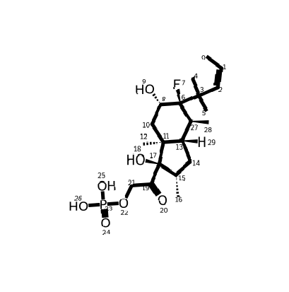 C/C=C\C(C)(C)[C@@]1(F)[C@@H](O)C[C@@]2(C)[C@@H](C[C@H](C)[C@]2(O)C(=O)COP(=O)(O)O)[C@@H]1C